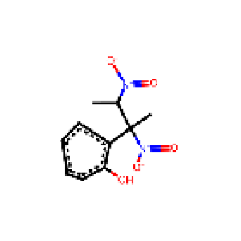 CC([N+](=O)[O-])C(C)(c1ccccc1O)[N+](=O)[O-]